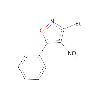 [CH2]Cc1noc(-c2ccccc2)c1[N+](=O)[O-]